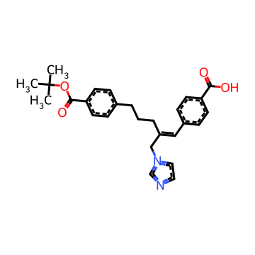 CC(C)(C)OC(=O)c1ccc(CCC/C(=C\c2ccc(C(=O)O)cc2)Cn2ccnc2)cc1